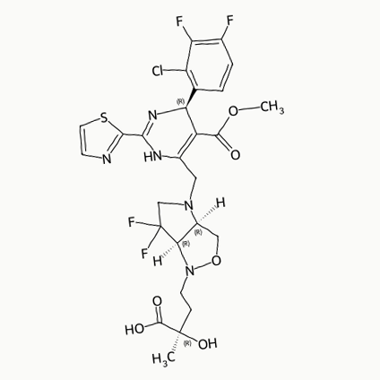 COC(=O)C1=C(CN2CC(F)(F)[C@H]3[C@@H]2CON3CC[C@@](C)(O)C(=O)O)NC(c2nccs2)=N[C@H]1c1ccc(F)c(F)c1Cl